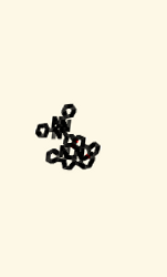 c1ccc(-c2nc(-c3ccccc3)nc(-c3cccc(-n4c5ccccc5c5ccc6c7ccccc7n(-c7ccccc7-c7ccccc7)c6c54)c3)n2)cc1